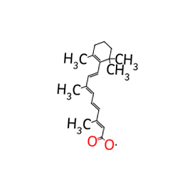 CC(C=CC1=C(C)CCCC1(C)C)=CC=C/C(C)=C/C([O])=O